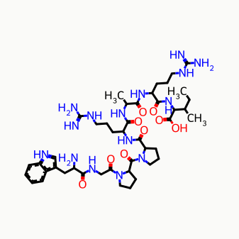 CCC(C)C(NC(=O)C(CCCNC(=N)N)NC(=O)C(C)NC(=O)C(CCCNC(=N)N)NC(=O)C1CCCN1C(=O)C1CCCN1C(=O)CNC(=O)C(N)Cc1c[nH]c2ccccc12)C(=O)O